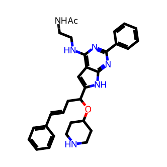 CC(=O)NCCNc1nc(-c2ccccc2)nc2[nH]c(C(CC=Cc3ccccc3)OC3CCNCC3)cc12